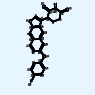 O=C1CCC(c2coc3cc4ccc(Oc5ccc(F)cc5)cc4cc23)C(=O)N1